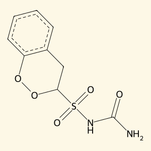 NC(=O)NS(=O)(=O)C1Cc2ccccc2OO1